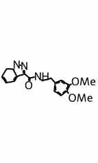 COc1ccc(CCNC(=O)C2=NN=C3CC=CC=C32)cc1OC